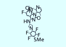 CSc1c(F)c(F)c(N2CC(Nc3nc(=O)n(-c4c(C)ccnc4C(C)C)c4nc(Cl)c(F)cc34)C2)c(F)c1F